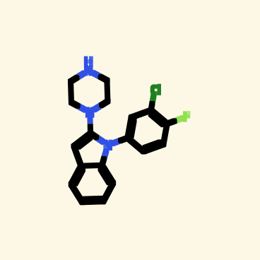 Fc1ccc(-n2c(N3CCNCC3)cc3ccccc32)cc1Cl